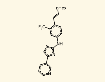 CCCCCCC=Cc1ccc(Nc2nc(-c3cccnc3)cs2)cc1C(F)(F)F